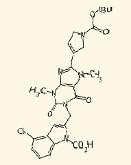 Cn1c(C2=CCN(C(=O)OC(C)(C)C)C2)nc2c1c(=O)n(Cc1cc3c(Cl)cccc3n1C(=O)O)c(=O)n2C